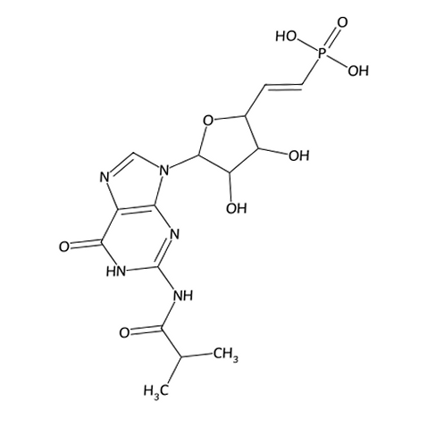 CC(C)C(=O)Nc1nc2c(ncn2C2OC(C=CP(=O)(O)O)C(O)C2O)c(=O)[nH]1